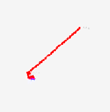 CCC(COC)(COCCOCCOCCOCCOCCOCCOCCOCCOCCOCCOCCOCCOCCOCCOCCOCCOCCOCCOC)COC(=O)NC1CC(C)(C)CC2(CN2)C1